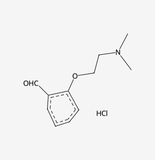 CN(C)CCOc1ccccc1C=O.Cl